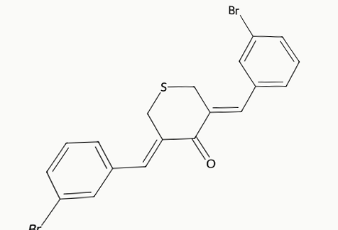 O=C1/C(=C/c2cccc(Br)c2)CSC/C1=C\c1cccc(Br)c1